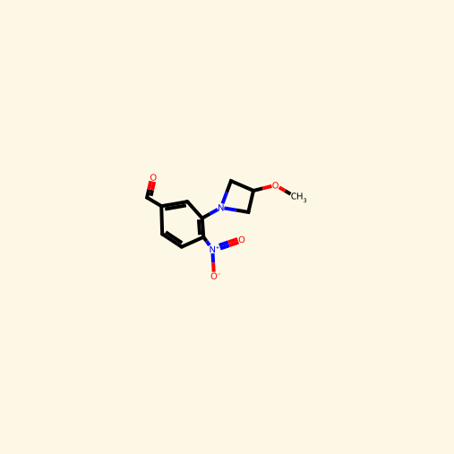 COC1CN(c2cc(C=O)ccc2[N+](=O)[O-])C1